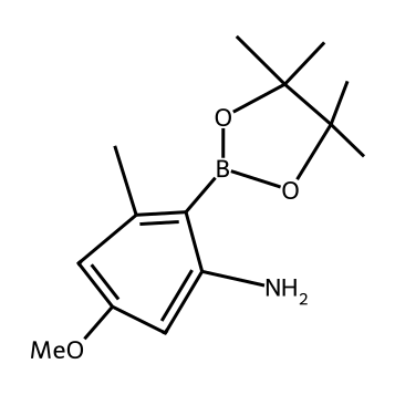 COc1cc(C)c(B2OC(C)(C)C(C)(C)O2)c(N)c1